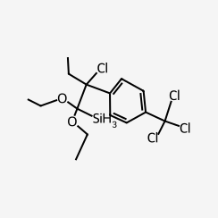 CCOC([SiH3])(OCC)C(Cl)(CC)c1ccc(C(Cl)(Cl)Cl)cc1